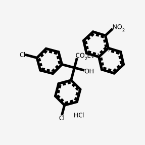 CCOC(=O)C(O)(c1ccc(Cl)cc1)c1ccc(Cl)cc1.Cl.O=[N+]([O-])c1cccc2ccccc12